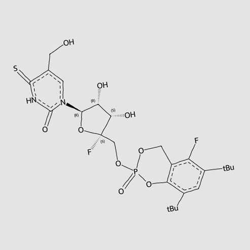 CC(C)(C)c1cc(C(C)(C)C)c2c(c1F)COP(=O)(OC[C@@]1(F)O[C@@H](n3cc(CO)c(=S)[nH]c3=O)[C@H](O)[C@@H]1O)O2